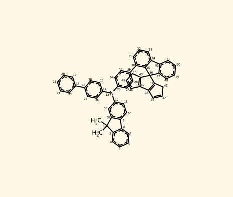 CC1(C)c2ccccc2-c2ccc(N(c3ccc(-c4ccccc4)cc3)c3ccc(-c4cccc5c4C4(C6=C(C=CC6)C6=C4CC=C6)c4ccccc4-5)cc3)cc21